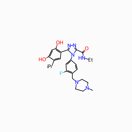 CCNC(=O)c1nnc(-c2cc(C(C)C)c(O)cc2O)n1-c1ccc(CN2CCN(C)CC2)c(F)c1